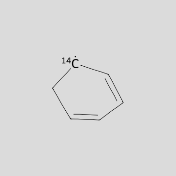 C1=CC[14CH]C=C1